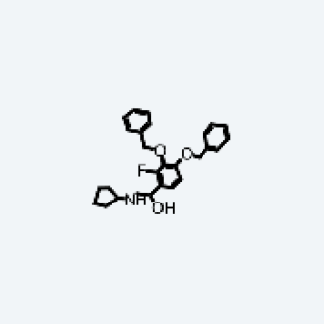 OC(CNC1CCCC1)c1ccc(OCc2ccccc2)c(OCc2ccccc2)c1F